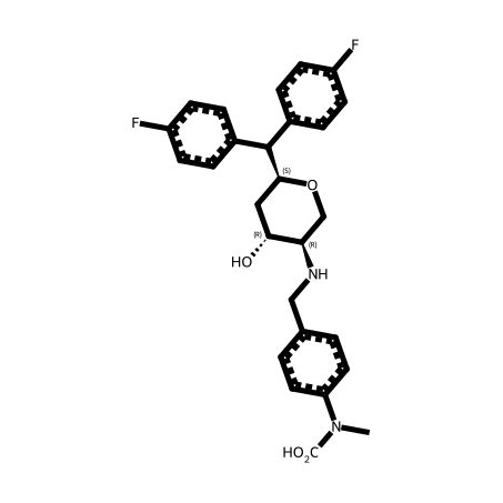 CN(C(=O)O)c1ccc(CN[C@@H]2CO[C@H](C(c3ccc(F)cc3)c3ccc(F)cc3)C[C@H]2O)cc1